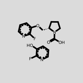 O=C(O)N1CCC[C@H]1COc1cccnc1F.Oc1cccnc1F